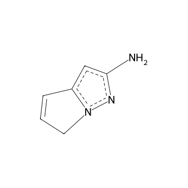 Nc1cc2n(n1)CC=C2